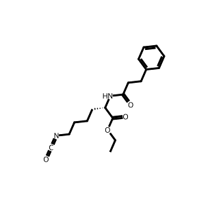 CCOC(=O)[C@H](CCCCN=C=O)NC(=O)CCc1ccccc1